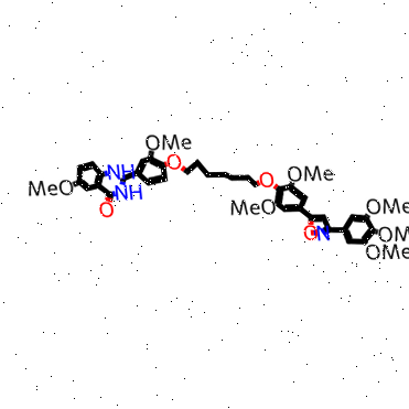 COc1ccc2c(c1)C(=O)NC(c1ccc(OCCCCCCCOc3c(OC)cc(-c4cc(-c5cc(OC)c(OC)c(OC)c5)no4)cc3OC)c(OC)c1)N2